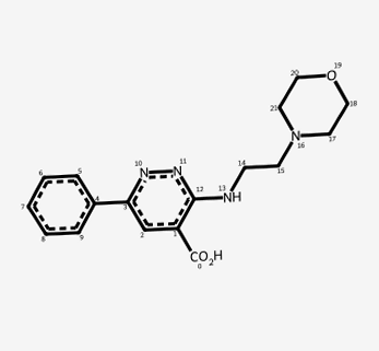 O=C(O)c1cc(-c2ccccc2)nnc1NCCN1CCOCC1